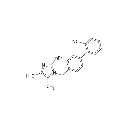 CCCc1nc(C)c(C)n1Cc1ccc(-c2ccccc2C#N)cc1